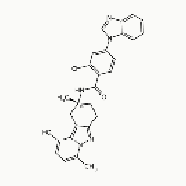 Cc1ccc(O)c2c3c(nn12)CC[C@@](C)(NC(=O)c1ccc(-n2cnc4ccccc42)cc1Cl)C3